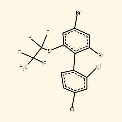 FC(F)(F)C(F)(F)C(F)(F)Sc1cc(Br)[c]c(Br)c1-c1ccc(Cl)cc1Cl